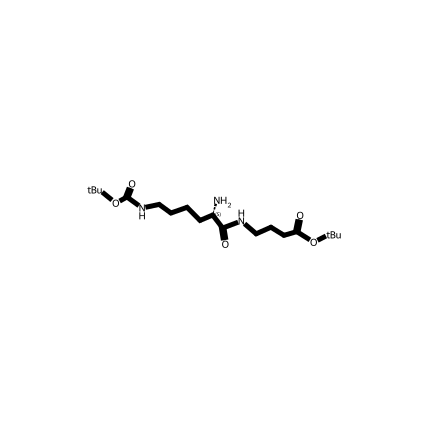 CC(C)(C)OC(=O)CCCNC(=O)[C@@H](N)CCCCNC(=O)OC(C)(C)C